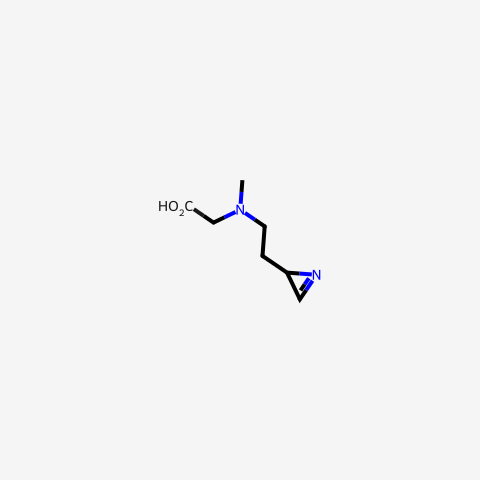 CN(CCC1C=N1)CC(=O)O